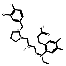 CC[C@@H](OC[C@H](O)CN1CCC[C@H]1Cc1ccc(Cl)c(Cl)c1)c1cc(F)c(C)cc1CCC(=O)O